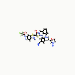 CCN(CCC1CNCCO1)c1ccc(C#N)cc1N=C1SC(=C2Sc3cc(NC(=O)C(F)(F)F)ccc3N2C)C(=O)N1Cc1ccccc1